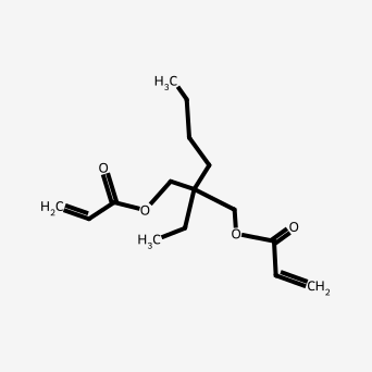 C=CC(=O)OCC(CC)(CCCC)COC(=O)C=C